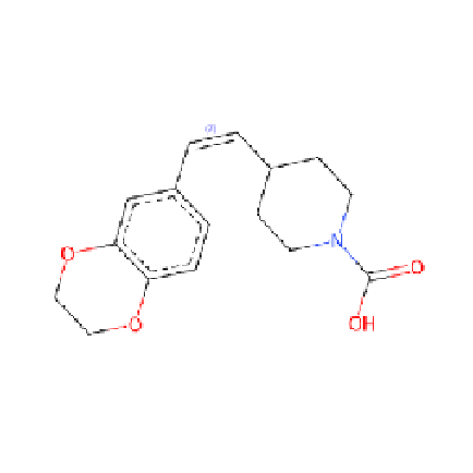 O=C(O)N1CCC(/C=C\c2ccc3c(c2)OCCO3)CC1